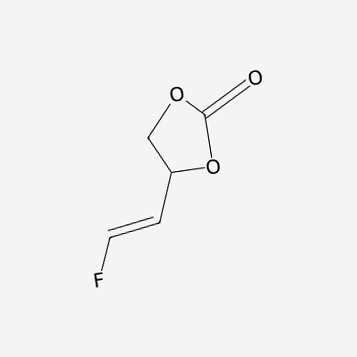 O=C1OCC(C=CF)O1